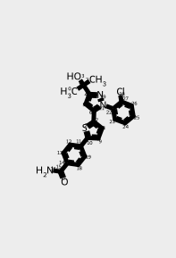 CC(C)(O)c1cc(-c2ccc(-c3ccc(C(N)=O)cc3)s2)n(-c2ccccc2Cl)n1